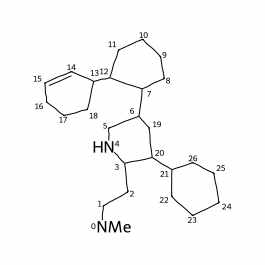 CNCCC1NCC(C2CCCCC2C2C=CCCC2)CC1C1CCCCC1